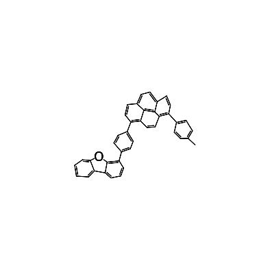 Cc1ccc(-c2ccc3ccc4ccc(-c5ccc(-c6cccc7c6oc6ccccc67)cc5)c5ccc2c3c45)cc1